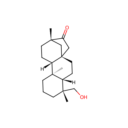 C[C@@]12CC[C@@H]3[C@@](CC[C@@H]4[C@](C)(CO)CCC[C@]43C)(CC1=O)C2